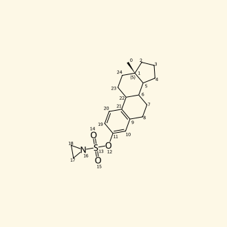 C[C@@]12CCCC1C1CCc3cc(OS(=O)(=O)N4CC4)ccc3C1CC2